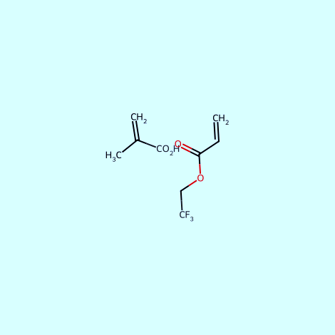 C=C(C)C(=O)O.C=CC(=O)OCC(F)(F)F